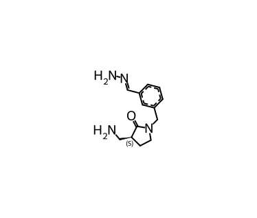 NC[C@@H]1CCN(Cc2cccc(C=NN)c2)C1=O